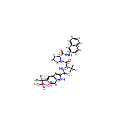 CC(C)(C)C(NC(=O)c1cc2cc(C(F)(F)P(=O)(O)O)ccc2[nH]1)C(=O)N1CCC[C@H]1C(=O)Nc1ccc2ccccc2c1